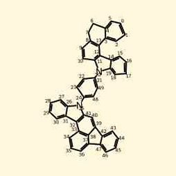 c1ccc2c(c1)CCc1ccc3c(c1-2)c1ccccc1n3-c1ccc(-n2c3ccccc3c3c4cccc5c4c(cc32)-c2ccccc2-5)cc1